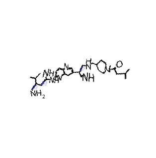 CC(C)CC(=O)N1CCC(CN/C=C(\C=N)c2cnc3ccc(N/C(N)=C/C(=C\N)C(C)C)nc3c2)CC1